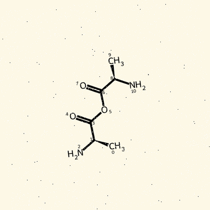 C[C@@H](N)C(=O)OC(=O)[C@@H](C)N